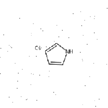 [Cs].c1cc[nH]c1